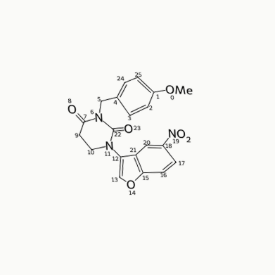 COc1ccc(CN2C(=O)CCN(c3coc4ccc([N+](=O)[O-])cc34)C2=O)cc1